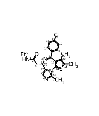 CCNC(=O)C[C@@H]1N=C(c2ccc(Cl)cc2)c2c(sc(C)c2C)-n2c(C)nnc21